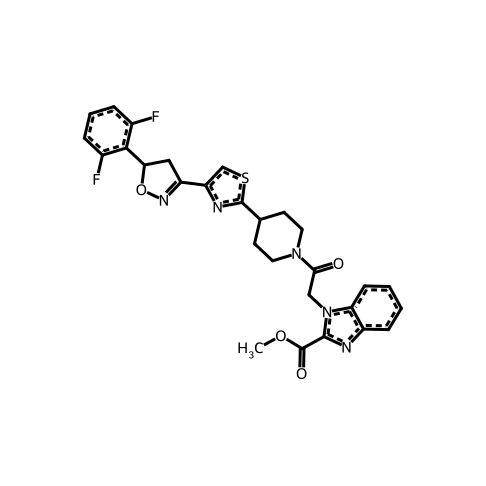 COC(=O)c1nc2ccccc2n1CC(=O)N1CCC(c2nc(C3=NOC(c4c(F)cccc4F)C3)cs2)CC1